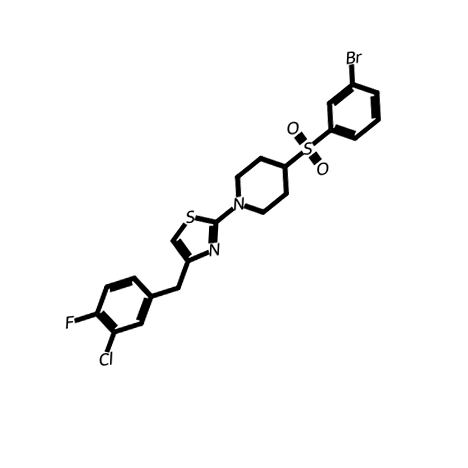 O=S(=O)(c1cccc(Br)c1)C1CCN(c2nc(Cc3ccc(F)c(Cl)c3)cs2)CC1